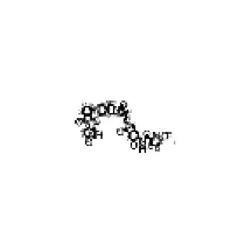 COc1cc2c(cc1NC(=O)c1cccc(C(F)(F)F)n1)CN(CCC(C)(C)C(=O)N1CCC3(CC1)CCN(c1cccc4c1C(=O)N(C1CCC(=O)NC1=O)C4=O)CC3)C2=O